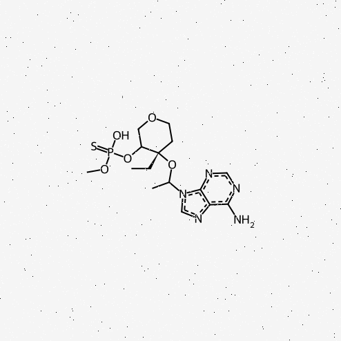 CC[C@]1(OC(C)n2cnc3c(N)ncnc32)CCOCC1OP(O)(=S)OC